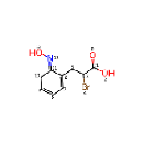 O=C(O)C(Br)CC1=CC=CCC1=NO